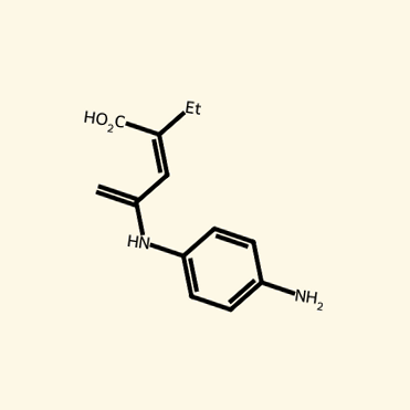 C=C(C=C(CC)C(=O)O)Nc1ccc(N)cc1